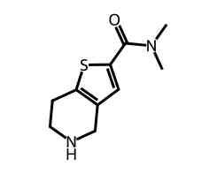 CN(C)C(=O)c1cc2c(s1)CCNC2